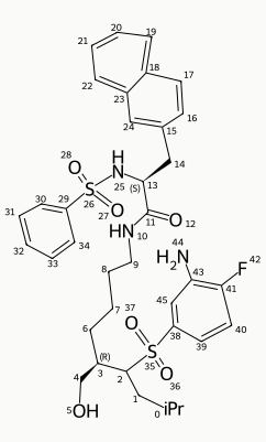 CC(C)CC([C@@H](CO)CCCCNC(=O)[C@H](Cc1ccc2ccccc2c1)NS(=O)(=O)c1ccccc1)S(=O)(=O)c1ccc(F)c(N)c1